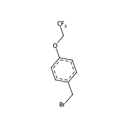 FC(F)(F)COc1ccc(CBr)cc1